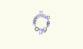 c1cc2cc(c1)Nc1cc(ccn1)-c1cnc(nc1)C1CCCN1CCNCCN1CCN(CC1)C2